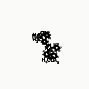 CC1(C)c2ccccc2-c2c(-c3nc(-c4ccccc4)nc(-c4ccc5c(c4)-c4ccccc4C(C)(C)C5(C)C)n3)cccc21